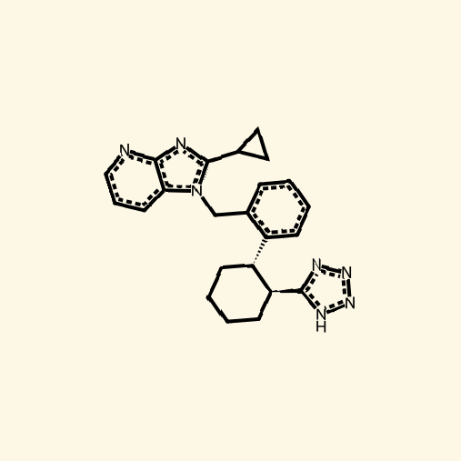 c1ccc([C@H]2CCCC[C@@H]2c2nnn[nH]2)c(Cn2c(C3CC3)nc3ncccc32)c1